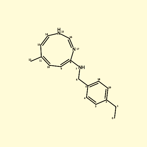 CCc1ccc(CNc2ccc(C)cc[nH]cn2)cc1